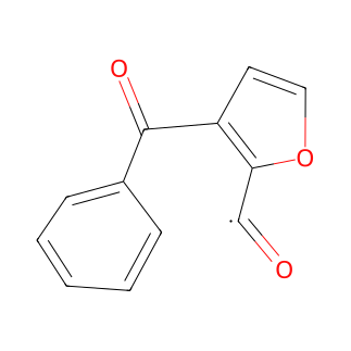 O=[C]c1occc1C(=O)c1ccccc1